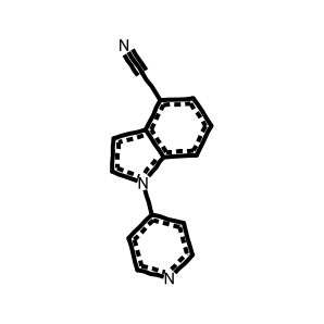 N#Cc1cccc2c1ccn2-c1ccncc1